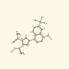 CC[C@H](N)c1oc(-c2ccc(OC)c3nc(C(F)(F)F)ccc23)nc1C(N)=O